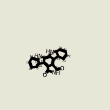 O=C1NC(=O)c2c1c1c(c3[nH]c4ccccc4c23)NC2C=CC=CC12